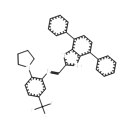 FC(F)(F)c1ccc(N2CCCC2)c(/N=C/c2nc3c(-c4ccccc4)ccc(-c4ccccc4)c3[nH]2)c1